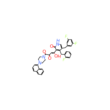 O=C(C=C(O)c1c(Cc2ccccc2F)c(Cc2cc(F)cc(F)c2)c[nH]c1=O)C(=O)N1CCN(c2cccc3ccccc23)CC1